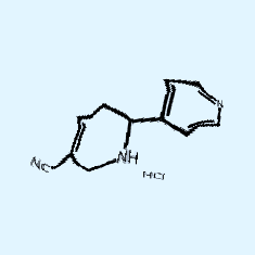 Cl.N#CC1=CCC(c2ccncc2)NC1